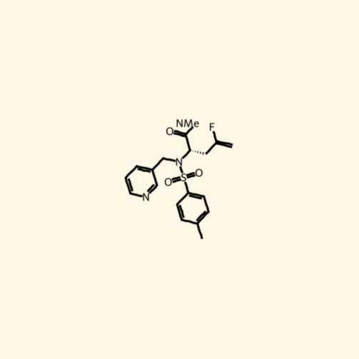 C=C(F)C[C@@H](C(=O)NC)N(Cc1cccnc1)S(=O)(=O)c1ccc(C)cc1